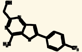 Nc1nc(CO)nc2cc(-c3ccc(C(F)(F)F)cc3)sc12